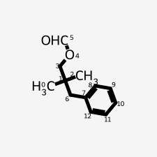 CC(C)(COC=O)Cc1ccccc1